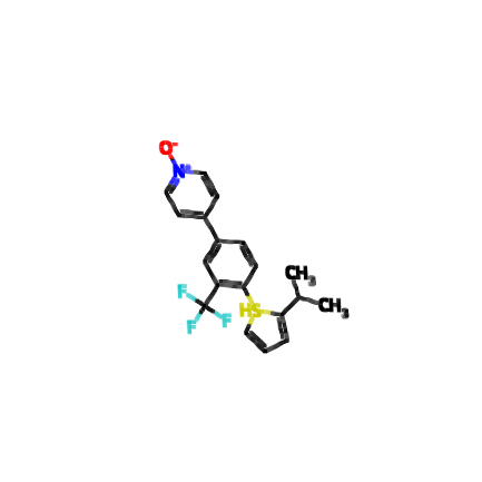 CC(C)C1=CC=C[SH]1c1ccc(-c2cc[n+]([O-])cc2)cc1C(F)(F)F